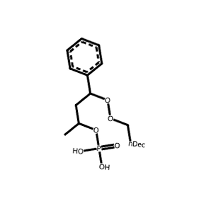 CCCCCCCCCCCOOC(CC(C)OP(=O)(O)O)c1ccccc1